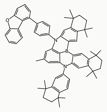 Cc1cc2c3c(c1)N(c1ccc4c(c1)C(C)(C)CCC4(C)C)c1cc4c(cc1B3c1cc3c(cc1N2c1ccc(-c2cccc5oc6ccccc6c25)cc1)C(C)(C)CCC3(C)C)C(C)(C)CCC4(C)C